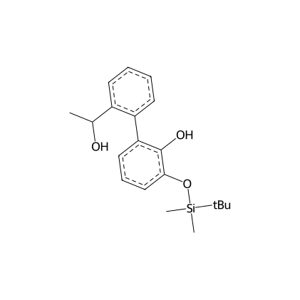 CC(O)c1ccccc1-c1cccc(O[Si](C)(C)C(C)(C)C)c1O